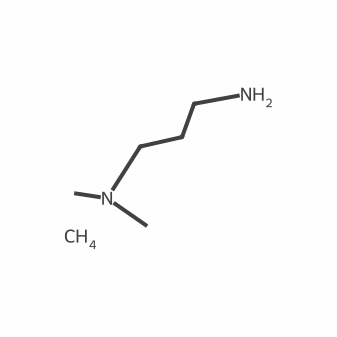 C.CN(C)CCCN